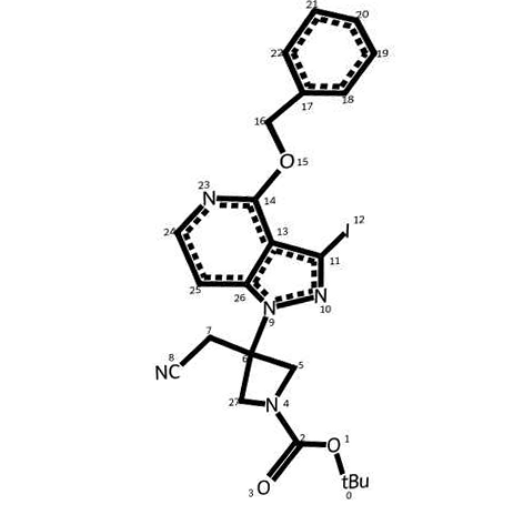 CC(C)(C)OC(=O)N1CC(CC#N)(n2nc(I)c3c(OCc4ccccc4)nccc32)C1